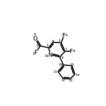 O=C(F)c1cc(F)c(F)c(-c2ccccc2)n1